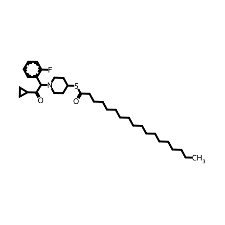 CCCCCCCCCCCCCCCCCC(=O)SC1CCN(C(C(=O)C2CC2)c2ccccc2F)CC1